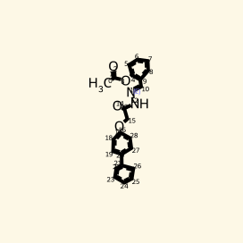 CC(=O)Oc1ccccc1/C=N/NC(=O)COc1ccc(-c2ccccc2)cc1